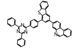 c1ccc(-c2nc(-c3ccccc3)nc(-c3ccc(-c4cc(-c5ccc6c(c5)ncc5ccccc56)cc5c4sc4ccccc45)cc3)n2)cc1